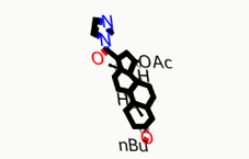 CCCCO[C@H]1CC[C@@]2(C)C(CC[C@H]3C4[C@H](OC(C)=O)CC(C(=O)n5ccnc5)[C@@]4(C)CC[C@@H]32)C1